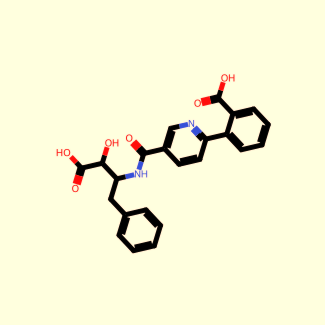 O=C(NC(Cc1ccccc1)C(O)C(=O)O)c1ccc(-c2ccccc2C(=O)O)nc1